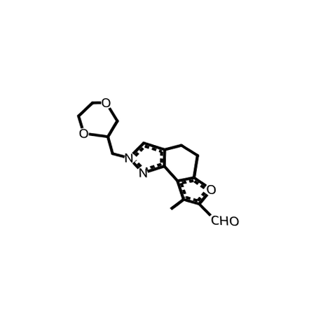 Cc1c(C=O)oc2c1-c1nn(CC3COCCO3)cc1CC2